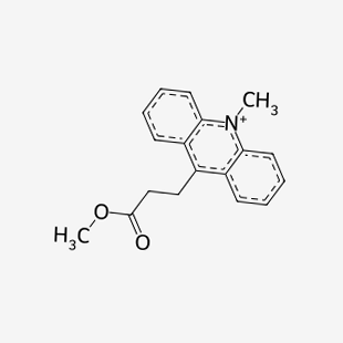 COC(=O)CCc1c2ccccc2[n+](C)c2ccccc12